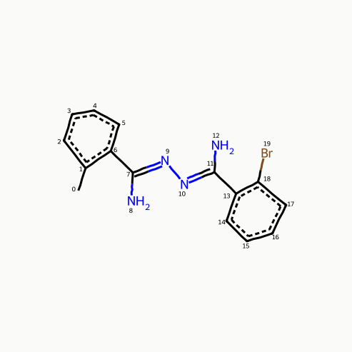 Cc1ccccc1/C(N)=N/N=C(\N)c1ccccc1Br